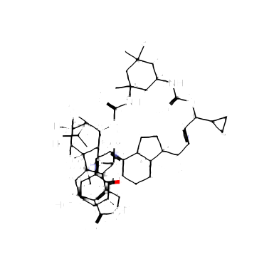 C=C1/C(=C\C=C2/CCC[C@@]3(C)C2CCC3[C@@H](C)/C=C/C(OC(=O)NC2CC(C)(C)CC(C)(NC(=O)O[C@@H]3[C@@]4(C(C)C)O[C@H]4[C@@H]4O[C@@]45[C@@]4(C)CCC6=C(COC6=O)[C@@H]4C4C[C@@]35O4)C2)C2CC2)C[C@@H](O)C[C@@H]1O